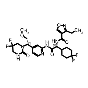 CCc1nocc1C(=O)N[C@H](C(=O)Nc1cc([C@@H](COC)N2CC(F)(F)CNC2=O)ccn1)C1CCC(F)(F)CC1